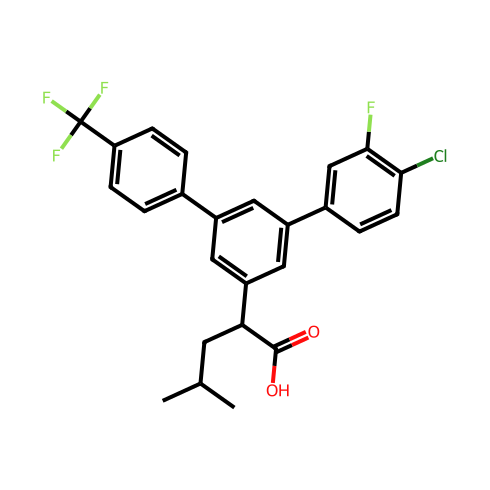 CC(C)CC(C(=O)O)c1cc(-c2ccc(C(F)(F)F)cc2)cc(-c2ccc(Cl)c(F)c2)c1